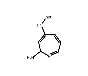 CCCCNC1=CC(N)N=CC=C1